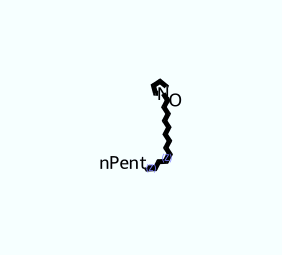 CCCCC/C=C\C/C=C\CCCCCCCC(=O)N1CCCC1